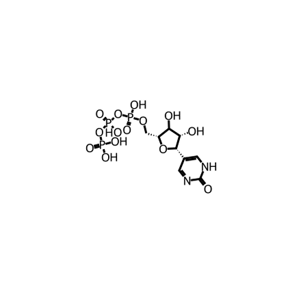 O=c1ncc([C@@H]2O[C@H](COP(=O)(O)OP(=O)(O)OP(=O)(O)O)C(O)[C@@H]2O)c[nH]1